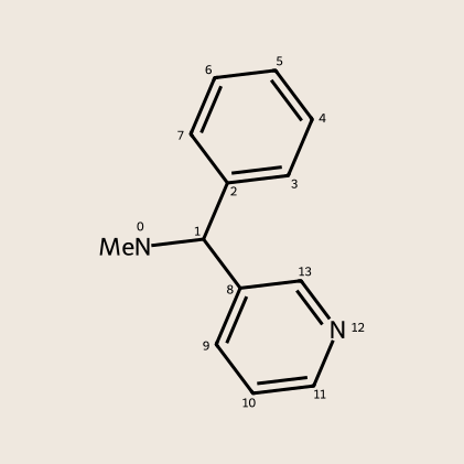 CNC(c1ccccc1)c1cccnc1